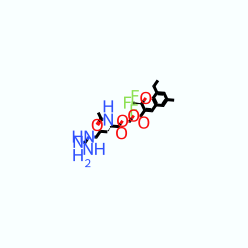 CCc1cc(C)cc2c1O[C@H](C(F)(F)F)C(C(=O)OCOC(=O)[C@H](CCCNC(=N)N)NC(C)=O)=C2